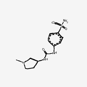 CN1CCC(NC(=O)Nc2ccc(S(N)(=O)=O)cc2)C1